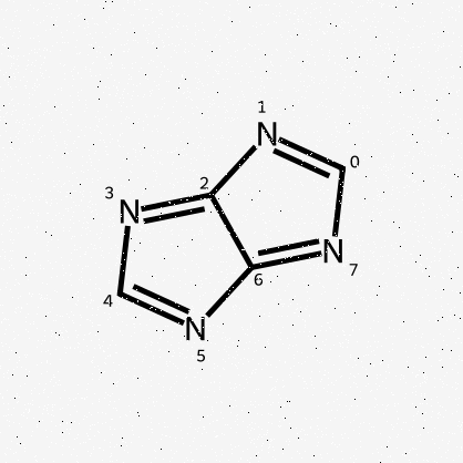 C1=NC2=NC=NC2=N1